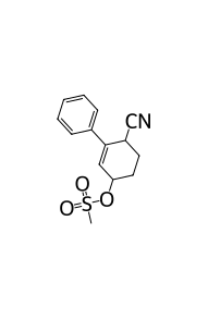 CS(=O)(=O)OC1C=C(c2ccccc2)C(C#N)CC1